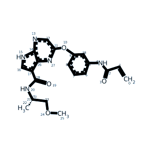 C=CC(=O)Nc1cccc(Oc2cnc3[nH]cc(C(=O)N[C@@H](C)COC)c3n2)c1